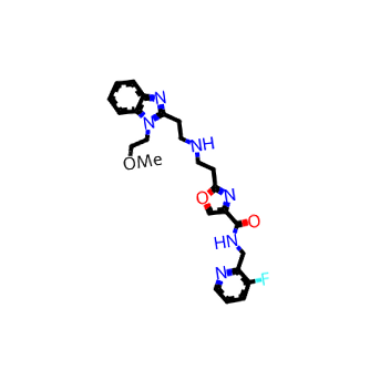 COCCn1c(CCNCCc2nc(C(=O)NCc3ncccc3F)co2)nc2ccccc21